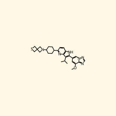 COc1cc(-c2[nH]c3ccc(C4CCC(N5CC6(CSC6)C5)CC4)nc3c2C(C)C)cn2ncnc12